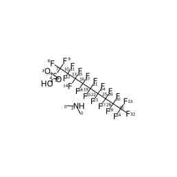 CNC.O=S(=O)(O)C(F)(F)C(F)(F)C(F)(F)C(F)(F)C(F)(F)C(F)(F)C(F)(F)C(F)(F)C(F)(F)F